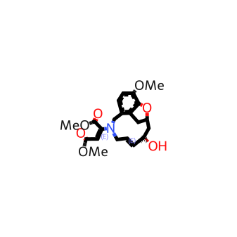 COC(=O)/C=C(\C(=O)OC)N1C/C=C/[C@H](O)CC2Cc3c(ccc(OC)c3O2)C1